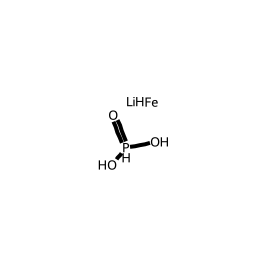 O=[PH](O)O.[Fe].[LiH]